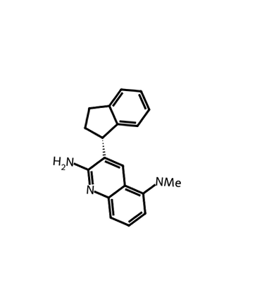 CNc1cccc2nc(N)c([C@@H]3CCc4ccccc43)cc12